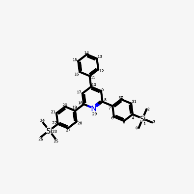 C[Si](C)(C)c1ccc(-c2cc(-c3ccccc3)cc(-c3ccc([Si](C)(C)C)cc3)n2)cc1